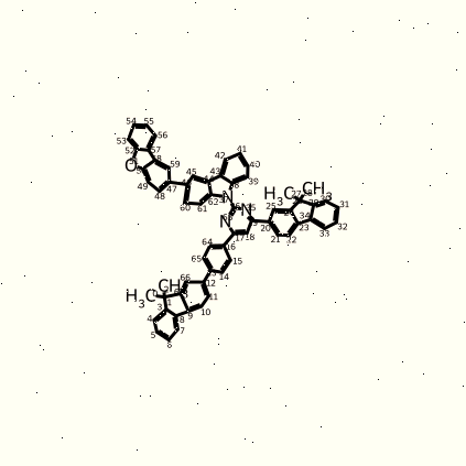 CC1(C)c2ccccc2-c2ccc(-c3ccc(-c4cc(-c5ccc6c(c5)C(C)(C)c5ccccc5-6)nc(-n5c6ccccc6c6cc(-c7ccc8oc9ccccc9c8c7)ccc65)n4)cc3)cc21